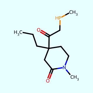 CCCC1(C(=O)CPC)CCN(C)C(=O)C1